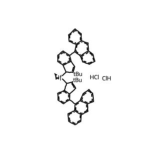 CC(C)(C)C1=Cc2c(-c3c4ccccc4cc4ccccc34)cccc2[CH]1[Hf]1([CH]2C(C(C)(C)C)=Cc3c(-c4c5ccccc5cc5ccccc45)cccc32)[CH2][CH2]1.Cl.Cl